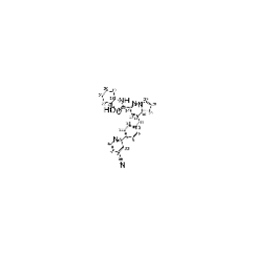 N#Cc1ccnc(-c2ccc(Cc3cc(C(=O)N[C@H]4CCCC[C@@H]4O)nn4cccc34)cc2)c1